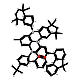 Cc1cc2c3c(c1)N(c1ccc(C(C)(C)C)cc1-c1ccccc1)c1ccc(-c4cccc5c4-c4ccccc4C5(C)C)cc1B3c1cc3c(cc1N2c1ccc2c(c1)C(C)(C)CCC2(C)C)C(C)(C)CC3(C)C